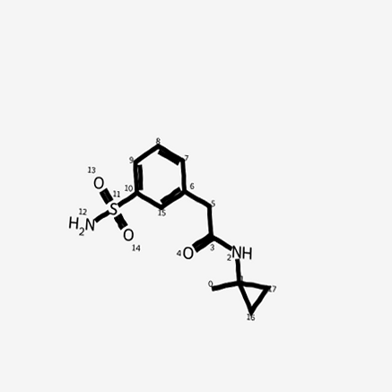 CC1(NC(=O)Cc2cccc(S(N)(=O)=O)c2)CC1